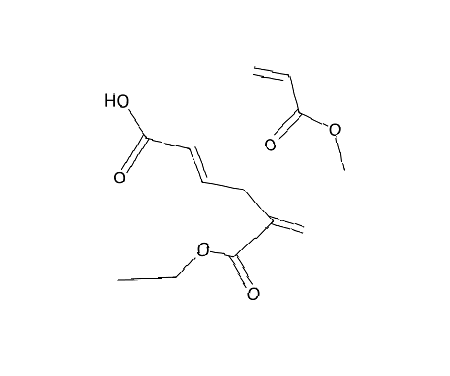 C=C(CC=CC(=O)O)C(=O)OCC.C=CC(=O)OC